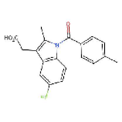 Cc1ccc(C(=O)n2c(C)c(CC(=O)O)c3cc([18F])ccc32)cc1